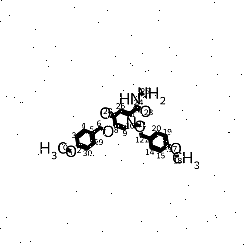 COc1ccc(COc2cn(OCc3ccc(OC)cc3)c(C(=O)NN)cc2=O)cc1